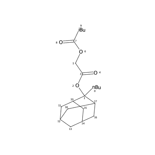 CCCCC1(OC(=O)COC(=O)C(C)CC)C2CC3CC(C2)CC1C3